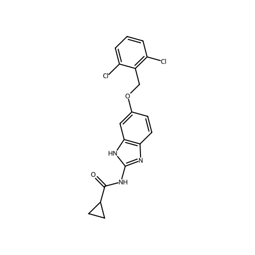 O=C(Nc1nc2ccc(OCc3c(Cl)cccc3Cl)cc2[nH]1)C1CC1